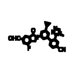 Cn1cnnc1-c1cc(C#N)ccc1-c1cc(C2CC2)cc(N2Cc3c(F)cc(C=O)cc3C2=O)c1